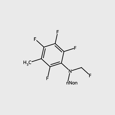 CCCCCCCCCN(CF)c1c(F)c(C)c(F)c(F)c1F